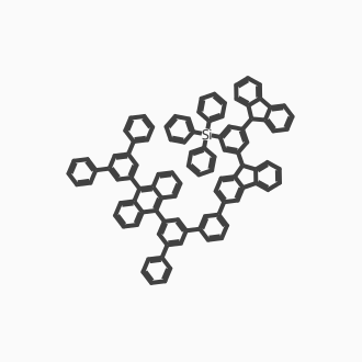 c1ccc(-c2cc(-c3ccccc3)cc(-c3c4ccccc4c(-c4cc(-c5ccccc5)cc(-c5cccc(-c6ccc7c(c6)-c6ccccc6C7c6cc(C7c8ccccc8-c8ccccc87)cc([Si](c7ccccc7)(c7ccccc7)c7ccccc7)c6)c5)c4)c4ccccc34)c2)cc1